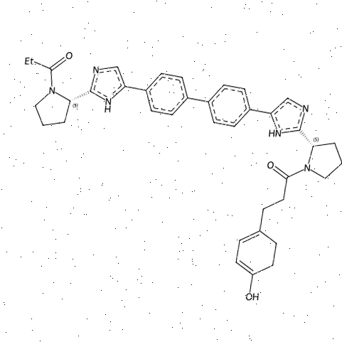 CCC(=O)N1CCC[C@H]1c1ncc(-c2ccc(-c3ccc(-c4cnc([C@@H]5CCCN5C(=O)CCC5=CC=C(O)CC5)[nH]4)cc3)cc2)[nH]1